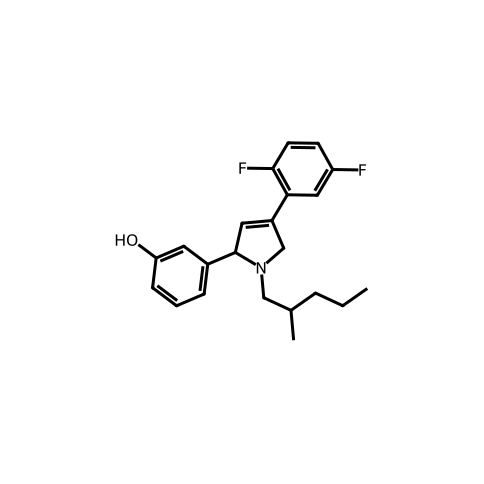 CCCC(C)CN1CC(c2cc(F)ccc2F)=CC1c1cccc(O)c1